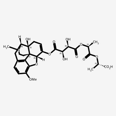 COc1ccc2c3c1O[C@H]1C(OC(=O)[C@H](O)[C@@H](O)C(=O)O[C@@H](C)C(=O)O[C@@H](C)C(=O)O)=CC[C@@]4(O)[C@@H](C2)N(C)CC[C@]314